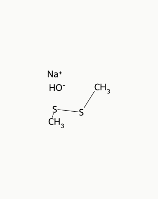 CSSC.[Na+].[OH-]